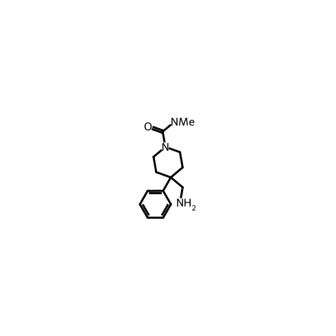 CNC(=O)N1CCC(CN)(c2ccccc2)CC1